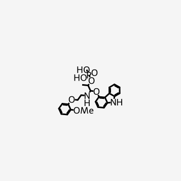 COc1ccccc1OCCNC(Oc1cccc2[nH]c3ccccc3c12)C(C)OP(=O)(O)O